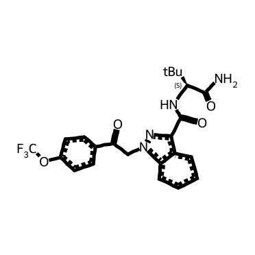 CC(C)(C)[C@H](NC(=O)c1nn(CC(=O)c2ccc(OC(F)(F)F)cc2)c2ccccc12)C(N)=O